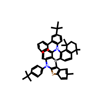 Cc1cc2c3c(c1)N(c1ccc(C(C)(C)C)cc1-c1ccccc1)c1c(ccc4c1C(C)(C)CCC4(C)C)B3c1c(sc3ccc(C)cc13)N2c1ccc(C(C)(C)C)cc1